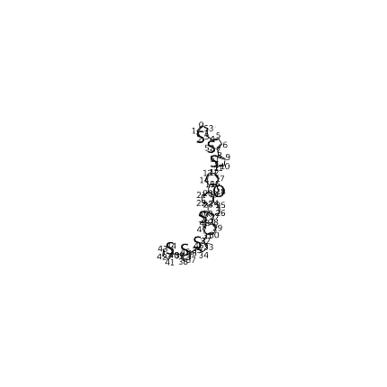 c1csc(-c2ccc(-c3ccc(-c4ccc5c(c4)oc4c5ccc5c4ccc4c6ccc(-c7ccc(-c8ccc(-c9cccs9)s8)s7)cc6sc45)s3)s2)c1